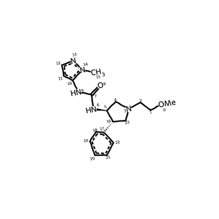 COCCN1C[C@H](NC(=O)Nc2ccnn2C)[C@@H](c2ccccc2)C1